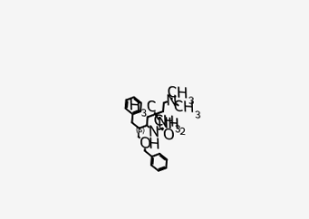 CN(C)CCC(C)(C)CC(NC(N)=O)[C@@H](COCc1ccccc1)Cc1ccccc1